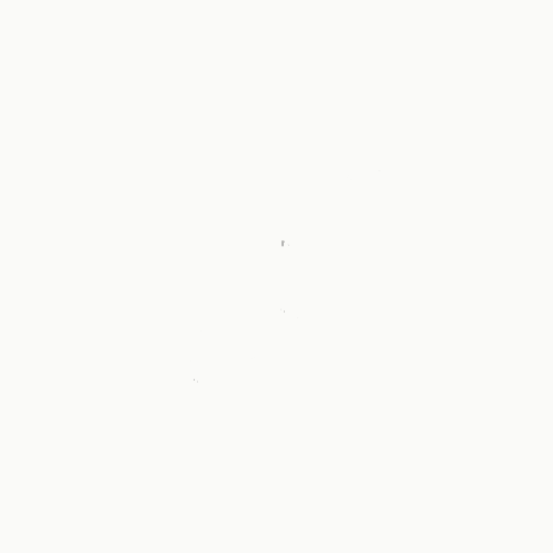 CC1=C(C(=O)O)C(CCCCCCNCC(O)COc2ccccc2)(c2cccc([N+](=O)[O-])c2)C(C(=O)O)=C(C)N1C